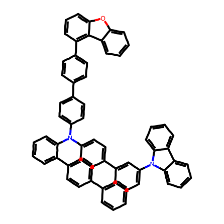 c1ccc(-c2ccc(-c3ccccc3N(c3ccc(-c4ccc(-c5cccc6oc7ccccc7c56)cc4)cc3)c3ccc(-c4cccc(-n5c6ccccc6c6ccccc65)c4)cc3)cc2)cc1